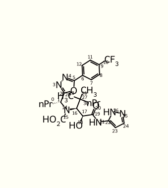 CCC[C@H](c1nnc(-c2ccc(C(F)(F)F)cc2)o1)N(C(=O)O)[C@H]([C@H](O)C(=O)Nc1ccn[nH]1)C(C)(C)CCC